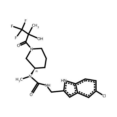 CN(C(=O)NCc1cc2cc(Cl)ccc2[nH]1)[C@@H]1CCCN(C(=O)C(C)(O)C(F)(F)F)C1